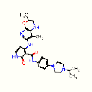 Cc1c(Nc2cc[nH]c(=O)c2C(=O)Nc2ccc(N3CCN(C(C)C)CC3)cc2)cnc2c1NCC(C)O2